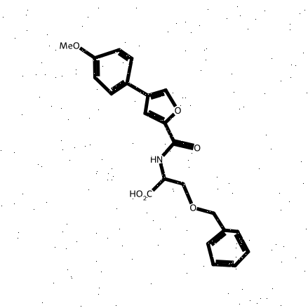 COc1ccc(-c2coc(C(=O)NC(COCc3ccccc3)C(=O)O)c2)cc1